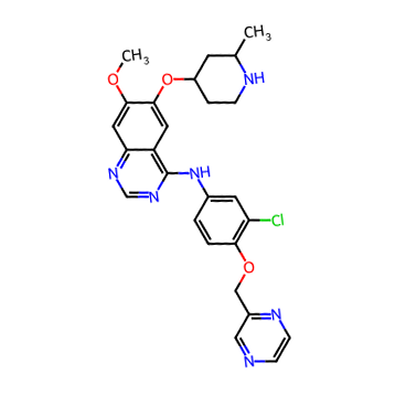 COc1cc2ncnc(Nc3ccc(OCc4cnccn4)c(Cl)c3)c2cc1OC1CCNC(C)C1